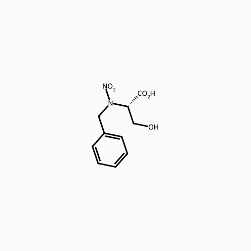 O=C(O)[C@H](CO)N(Cc1ccccc1)[N+](=O)[O-]